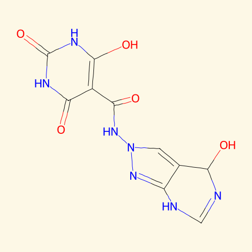 O=C(Nn1cc2c(n1)NC=NC2O)c1c(O)[nH]c(=O)[nH]c1=O